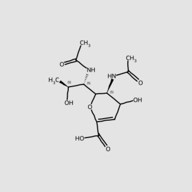 CC(=O)N[C@H]1C(O)C=C(C(=O)O)OC1[C@@H](NC(C)=O)[C@H](C)O